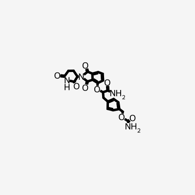 NC(=O)OCc1ccc(CC(Oc2cccc3c2C(=O)N(C2CCC(=O)NC2=O)C3=O)C(N)=O)cc1